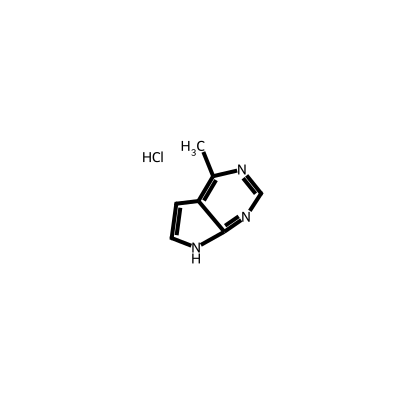 Cc1ncnc2[nH]ccc12.Cl